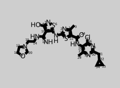 Cc1nc(Nc2snc(O)c2C(=N)NCCN2CCOC2)sc1C(=O)Nc1c(C)nc(CC2CC2)nc1Cl